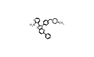 CN1CCN(Cc2ccc(-n3c(-c4cccnc4N)nc4ccc(-c5ccccc5)nc43)cc2)CC1